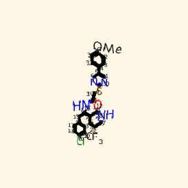 COc1ccc(-c2cnc(SCC(=O)NC(Cc3ccc(Cl)c(C(F)(F)F)c3)C3CCCNC3)nc2)cc1